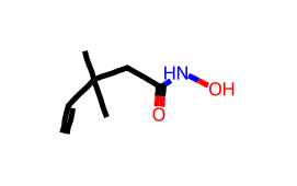 C=CC(C)(C)CC(=O)NO